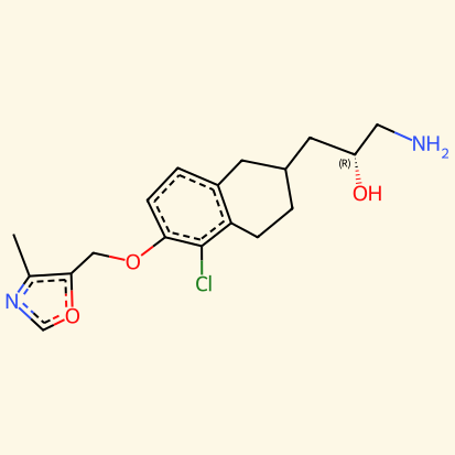 Cc1ncoc1COc1ccc2c(c1Cl)CCC(C[C@@H](O)CN)C2